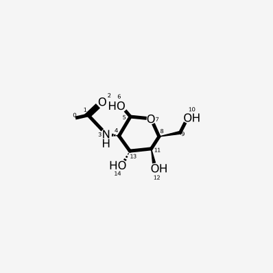 CC(=O)N[C@@H]1C(O)O[C@@H](CO)[C@@H](O)[C@@H]1O